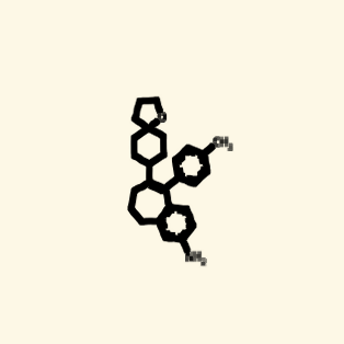 Cc1ccc(C2=C(C3CCC4(CCCO4)CC3)CCCc3cc(N)ccc32)cc1